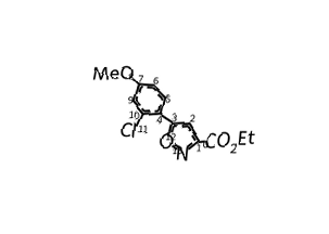 CCOC(=O)c1cc(-c2ccc(OC)cc2Cl)on1